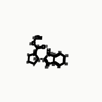 CC(C)(C)OC(=O)N1CCC[C@H]1c1nc2ccccc2[nH]1